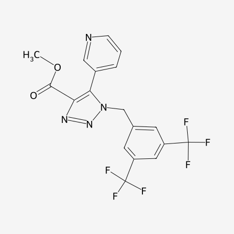 COC(=O)c1nnn(Cc2cc(C(F)(F)F)cc(C(F)(F)F)c2)c1-c1cccnc1